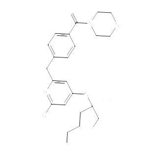 CCCC[C@](C)(CO)Nc1cc(N)nc(Cc2ccc(C(=O)N3CCNCC3)cc2)c1